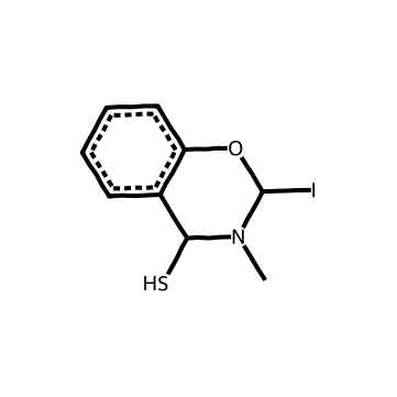 CN1C(I)Oc2ccccc2C1S